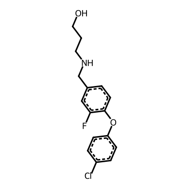 OCCCNCc1ccc(Oc2ccc(Cl)cc2)c(F)c1